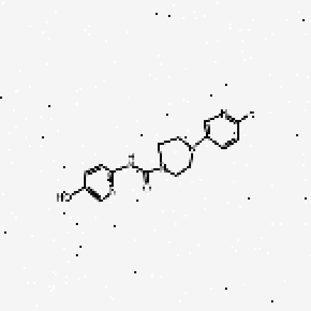 O=C(Nc1ccc(O)cn1)N1CCN(c2ccc(F)nc2)CC1